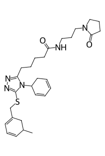 CC1C=CC=C(CSc2nnc(CCCCC(=O)NCCCN3CCCC3=O)n2C2C=CC=CC2)C1